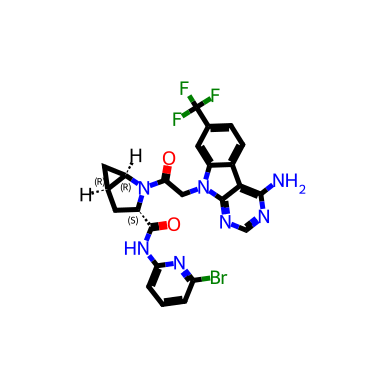 Nc1ncnc2c1c1ccc(C(F)(F)F)cc1n2CC(=O)N1[C@@H]2C[C@@H]2C[C@H]1C(=O)Nc1cccc(Br)n1